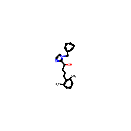 Cc1cccc(C)c1CCCC(O)c1nccn1Cc1ccccc1